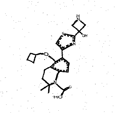 CC1(C)CCc2c(ccc(-c3csc(C4(O)CNC4)n3)c2OC2CCC2)N1C(=O)O